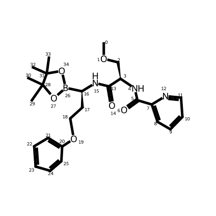 COC[C@@H](NC(=O)c1ccccn1)C(=O)N[C@@H](CCOc1ccccc1)B1OC(C)(C)C(C)(C)O1